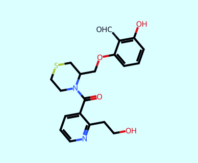 O=Cc1c(O)cccc1OCC1CSCCN1C(=O)c1cccnc1CCO